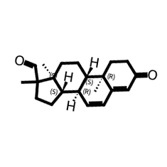 CC1(C=O)CC[C@H]2[C@@H]3C=CC4=CC(=O)CC[C@]4(C)[C@H]3CC[C@@]21C